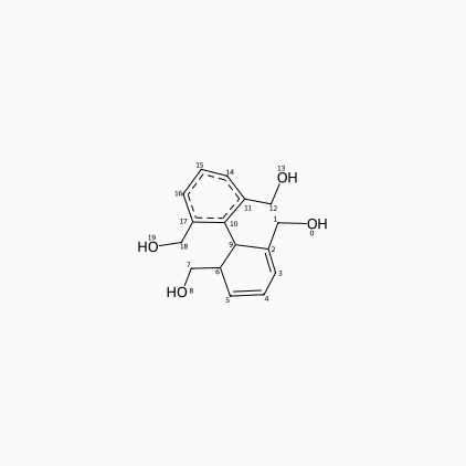 OCC1=CC=CC(CO)C1c1c(CO)cccc1CO